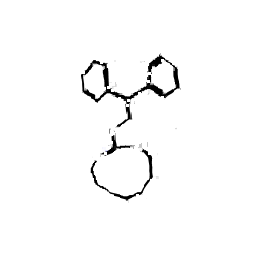 Cl.c1ccc(C(CN/C2=N/CCCCCCCN2)c2ccccc2)cc1